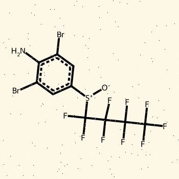 Nc1c(Br)cc([S+]([O-])C(F)(F)C(F)(F)C(F)(F)C(F)(F)F)cc1Br